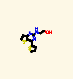 OCCNc1nc(-c2cccs2)c2sccc2n1